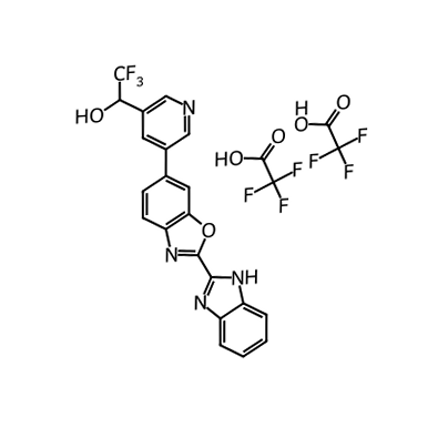 O=C(O)C(F)(F)F.O=C(O)C(F)(F)F.OC(c1cncc(-c2ccc3nc(-c4nc5ccccc5[nH]4)oc3c2)c1)C(F)(F)F